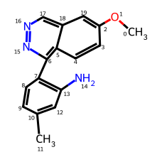 COc1ccc2c(-c3ccc(C)cc3N)nncc2c1